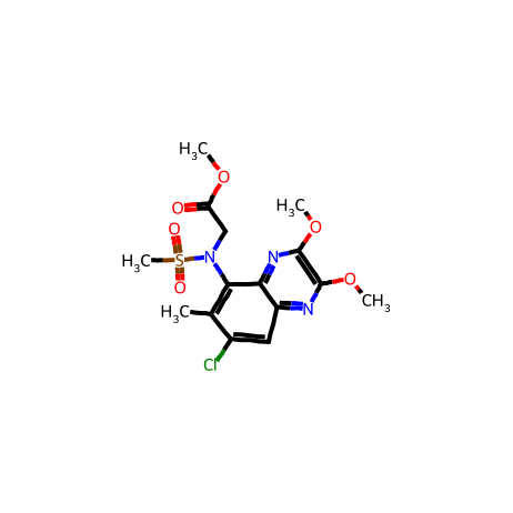 COC(=O)CN(c1c(C)c(Cl)cc2nc(OC)c(OC)nc12)S(C)(=O)=O